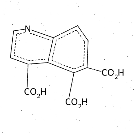 O=C(O)c1ccc2nccc(C(=O)O)c2c1C(=O)O